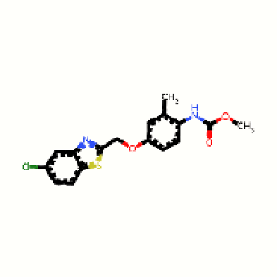 COC(=O)Nc1ccc(OCc2nc3cc(Cl)ccc3s2)cc1C